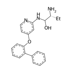 CC[C@@H](N)C(O)Nc1cc(Oc2ccccc2-c2ccccc2)ccn1